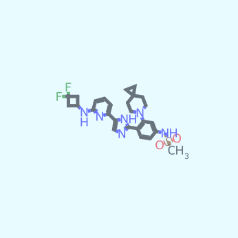 CS(=O)(=O)Nc1ccc(-c2ncc(-c3cccc(NC4CC(F)(F)C4)n3)[nH]2)c(N2CCC3(CC2)CC3)c1